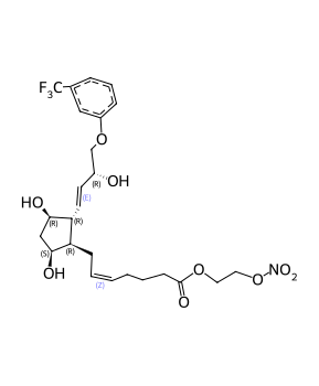 O=C(CCC/C=C\C[C@@H]1[C@@H](/C=C/[C@@H](O)COc2cccc(C(F)(F)F)c2)[C@H](O)C[C@@H]1O)OCCO[N+](=O)[O-]